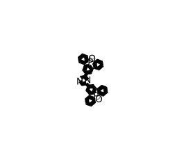 O=P(c1ccccc1)(c1ccccc1)c1ccc(-c2cncc(-c3ccc(P(=O)(c4ccccc4)c4ccccc4)cc3)n2)cc1